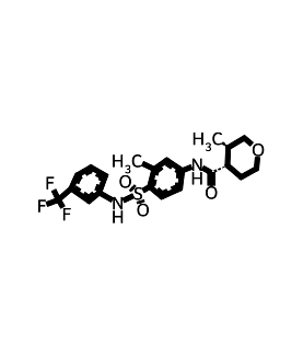 Cc1cc(NC(=O)[C@H]2CCOC[C@H]2C)ccc1S(=O)(=O)Nc1cccc(C(F)(F)F)c1